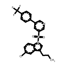 CCCc1cn(S(=O)(=O)c2cncc(-c3ccc(C(F)(F)F)cc3)c2)c2ccc(Cl)cc12